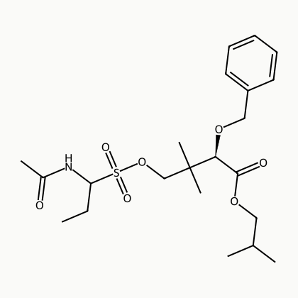 CCC(NC(C)=O)S(=O)(=O)OCC(C)(C)[C@@H](OCc1ccccc1)C(=O)OCC(C)C